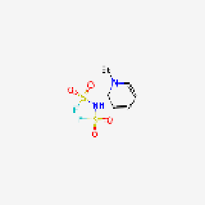 CCN1C=CC=CC1.O=S(=O)(F)NS(=O)(=O)F